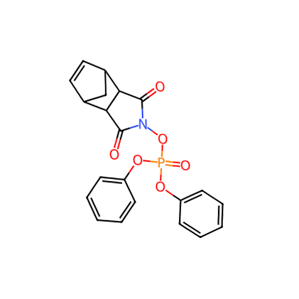 O=C1C2C3C=CC(C3)C2C(=O)N1OP(=O)(Oc1ccccc1)Oc1ccccc1